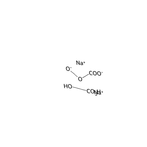 O=C(O)O.O=C([O-])O[O-].[Na+].[Na+]